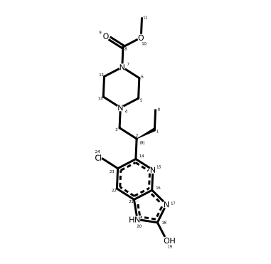 CC[C@H](CN1CCN(C(=O)OC)CC1)c1nc2nc(O)[nH]c2cc1Cl